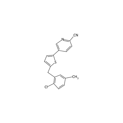 Cc1ccc(Cl)c(Cc2ccc(-c3ccc(C#N)nc3)s2)c1